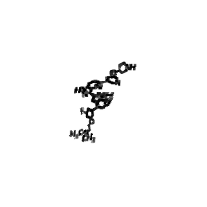 CN(C)CCOc1cc(F)cc(-c2ccnc3[nH]c(-c4n[nH]c5ccc(-c6cncc(OC7CCNCC7)c6)nc45)cc23)c1